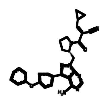 N#C/C(=C\C1CC1)C(=O)N1CCC[C@H]1Cn1nc(-c2ccc(Oc3ccccc3)cc2)c2c(N)ncnc21